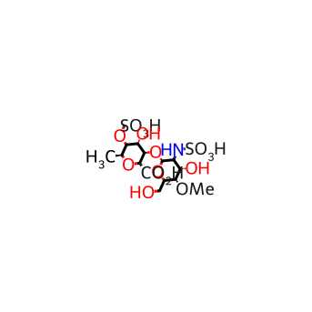 CO[C@@H]1C(CO)O[C@@H](O[C@H]2C(C(=O)O)O[C@@H](C)C(OS(=O)(=O)O)[C@@H]2O)C(NS(=O)(=O)O)[C@@H]1O